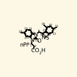 CCC[C@@H](CC(=O)O)n1c(=O)n(Cc2nsc3cc(C)cc(C)c23)c2ccc(C)cc21